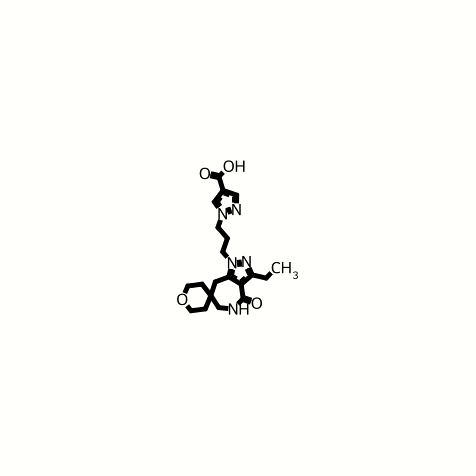 CCc1nn(CCCn2cc(C(=O)O)cn2)c2c1C(=O)NCC1(CCOCC1)C2